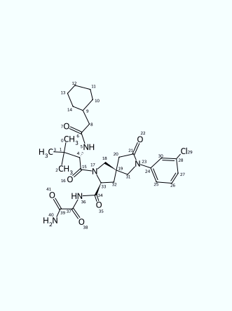 CC(C)(C)[C@H](NC(=O)CC1CCCCC1)C(=O)N1C[C@]2(CC(=O)N(c3cccc(Cl)c3)C2)C[C@H]1C(=O)NC(=O)C(N)=O